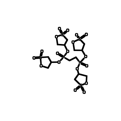 O=P(CCP(=O)(OC1COS(=O)(=O)C1)OC1COS(=O)(=O)C1)(OC1COS(=O)(=O)C1)OC1COS(=O)(=O)C1